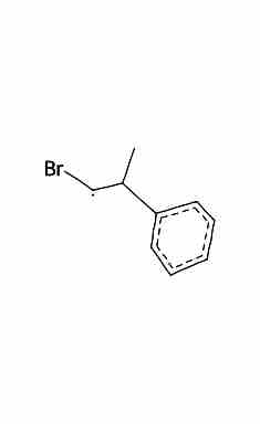 CC([CH]Br)c1ccccc1